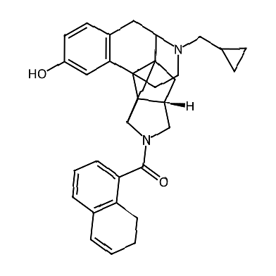 O=C(c1cccc2c1CCC=C2)N1C[C@H]2CC34CCC1C2C31CCN(CC2CC2)C4Cc2ccc(O)cc21